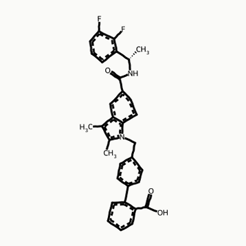 Cc1c(C)n(Cc2ccc(-c3ccccc3C(=O)O)cc2)c2ccc(C(=O)N[C@@H](C)c3cccc(F)c3F)cc12